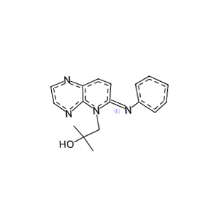 CC(C)(O)Cn1/c(=N/c2ccccc2)ccc2nccnc21